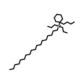 CCCCCCCCCCCCCCCCCC[N+](CCC)(CCC)C1(CCCC)CCCCC1